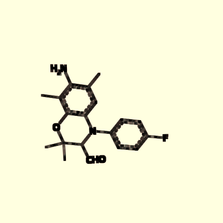 Cc1cc2c(c(C)c1N)OC(C)(C)C(C=O)N2c1ccc(F)cc1